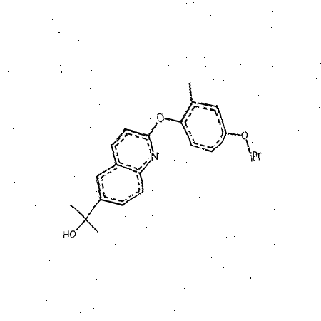 Cc1cc(OC(C)C)ccc1Oc1ccc2cc(C(C)(C)O)ccc2n1